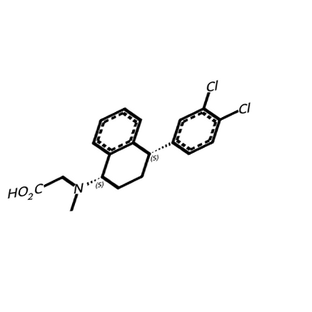 CN(CC(=O)O)[C@H]1CC[C@@H](c2ccc(Cl)c(Cl)c2)c2ccccc21